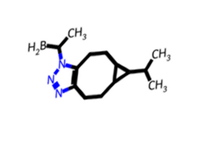 BC(C)n1nnc2c1CCC1C(CC2)C1C(C)C